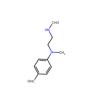 CN(CCNC=O)c1ccc(C=O)cc1